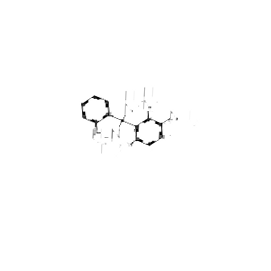 Cc1ccccc1C(N)(N)c1c(C)ccc(N)c1N